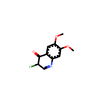 COc1cc2c(cc1OC)C(=O)C(Cl)C=N2